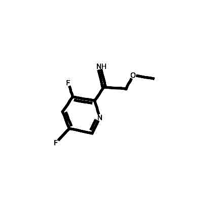 COCC(=N)c1ncc(F)cc1F